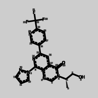 C[C@@H](CO)n1cnc2c(-n3cccn3)nc(-c3ccc(C(F)(F)F)nc3)cc2c1=O